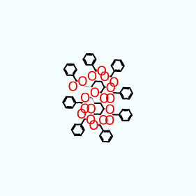 O=C(OC[C@H]1O[C@@H](O[C@H]2[C@H](OC(=O)c3ccccc3)[C@@H](OC(=O)c3ccccc3)[C@@H](OC(=O)c3ccccc3)O[C@@H]2COC(=O)c2ccccc2)[C@H](OC(=O)c2ccccc2)[C@@H](OC(=O)c2ccccc2)[C@H]1OC(=O)c1ccccc1)c1ccccc1